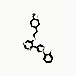 NC1CCC(CCOc2cncnc2-c2cnn(-c3ccccc3F)c2)CC1